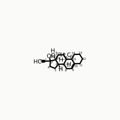 C#CC1(O)CC[C@H]2[C@@H]3CC=C4CCCC[C@]4(C)[C@@H]3CC[C@@]21C